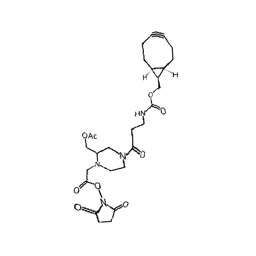 CC(=O)OCC1CN(C(=O)CCNC(=O)OC[C@@H]2[C@@H]3CCC#CCC[C@@H]32)CCN1CC(=O)ON1C(=O)CCC1=O